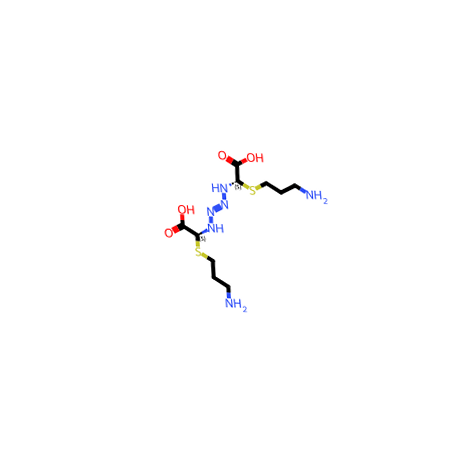 NCCCS[C@H](NN=NN[C@@H](SCCCN)C(=O)O)C(=O)O